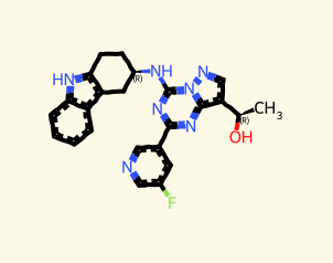 C[C@@H](O)c1cnn2c(N[C@@H]3CCc4[nH]c5ccccc5c4C3)nc(-c3cncc(F)c3)nc12